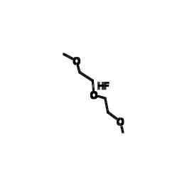 COCCOCCOC.F